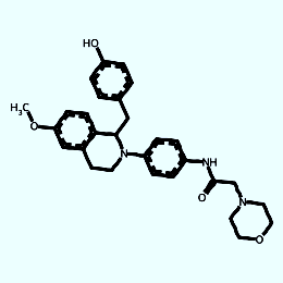 COc1ccc2c(c1)CCN(c1ccc(NC(=O)CN3CCOCC3)cc1)C2Cc1ccc(O)cc1